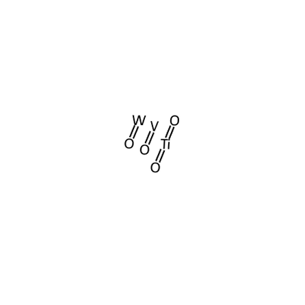 [O]=[Ti]=[O].[O]=[V].[O]=[W]